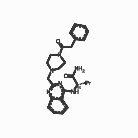 CC(C)[C@H](Nc1nc(CN2CCN(C(=O)Cc3ccccc3)CC2)nc2ccccc12)C(N)=O